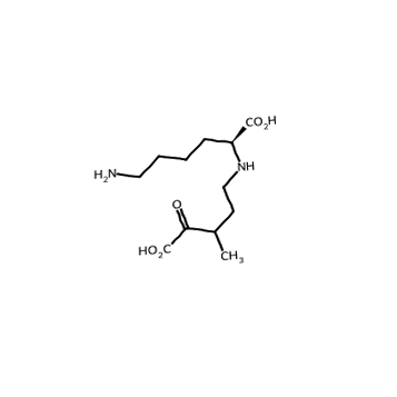 CC(CCN[C@@H](CCCCN)C(=O)O)C(=O)C(=O)O